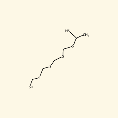 CC(S)SCSCSCSCS